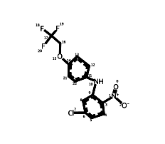 O=[N+]([O-])c1ccc(Cl)cc1Nc1ccc(OCC(F)(F)F)cc1